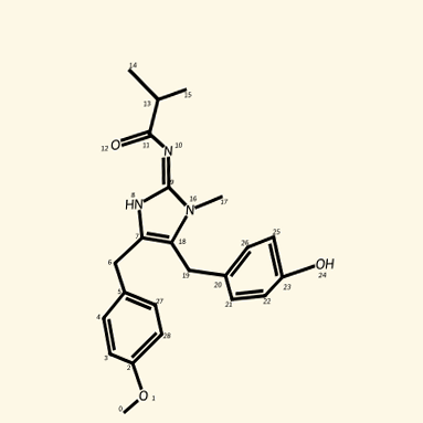 COc1ccc(Cc2[nH]/c(=N\C(=O)C(C)C)n(C)c2Cc2ccc(O)cc2)cc1